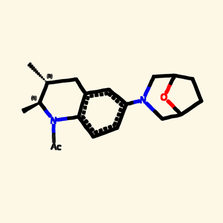 CC(=O)N1c2ccc(N3CC4CCC(C3)O4)cc2C[C@@H](C)[C@@H]1C